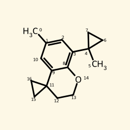 Cc1cc(C2(C)CC2)c2c(c1)C1(CCO2)CC1